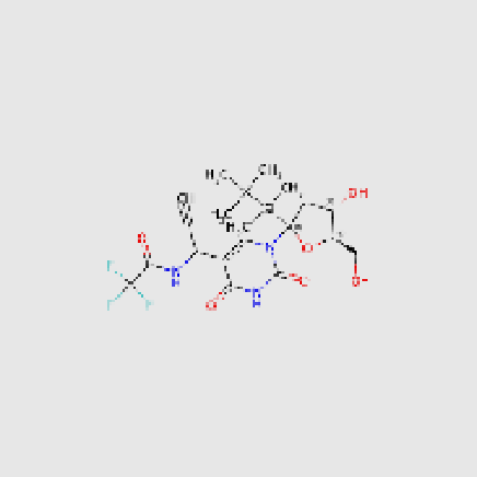 C#CC(NC(=O)C(F)(F)F)c1cn([C@@]2([Si](C)(C)C(C)(C)C)C[C@H](O)[C@@H](CO)O2)c(=O)[nH]c1=O